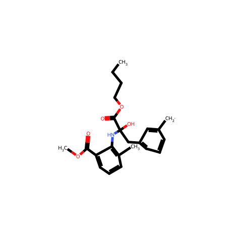 [CH2]c1cccc([CH]C(O)(Nc2c(C)cccc2C(=O)OC)C(=O)OCCCC)c1